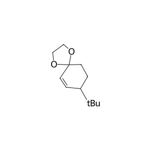 CC(C)(C)C1C=CC2(CC1)OCCO2